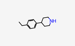 CCc1ccc(C2CCNCC2)cc1